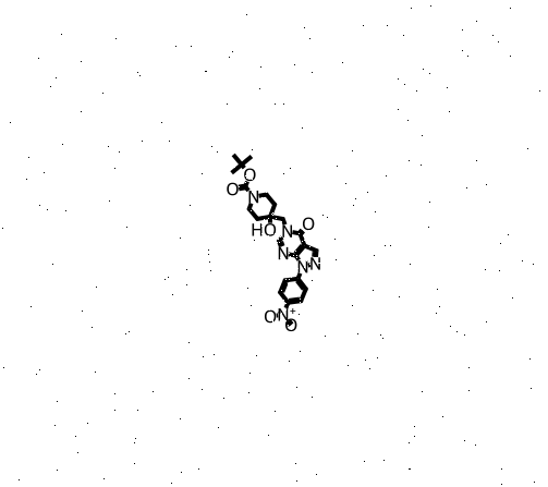 CC(C)(C)OC(=O)N1CCC(O)(Cn2cnc3c(cnn3-c3ccc([N+](=O)[O-])cc3)c2=O)CC1